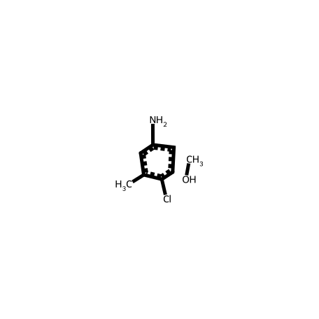 CO.Cc1cc(N)ccc1Cl